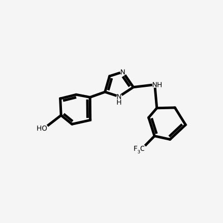 Oc1ccc(-c2cnc(NC3C=C(C(F)(F)F)C=CC3)[nH]2)cc1